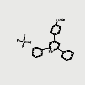 COc1ccc(-c2cc(-c3ccccc3)[se+]c(-c3ccccc3)c2)cc1.F[B-](F)(F)F